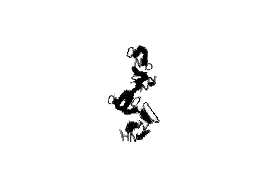 O=C([C@H]1Cc2cc(Cl)cc(-c3ncnc4cc(CN5C(=O)CCC5=O)sc34)c2O1)N1CCNCC1